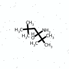 CC(C)(C)CC(N)(O)C(C)(C)C